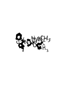 C[C@@H](c1cccc(OC(=O)N2CCN(C3=Nc4ccccc4Oc4ccc(I)cc43)CC2)c1)N(C)C